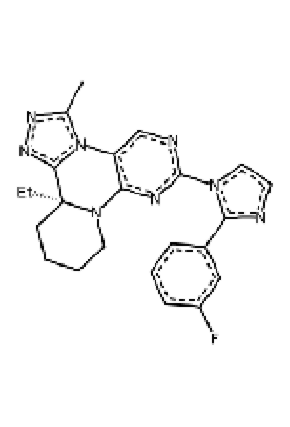 CC[C@@]12CCCCN1c1nc(-n3ccnc3-c3cccc(F)c3)ncc1-n1c(C)nnc12